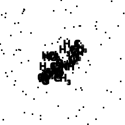 Cc1cccc(N2CCN(CCNC(=O)c3nc(C)n(-c4ccc5c(c4)OCO5)c3C)CC2)c1C.Cl.Cl